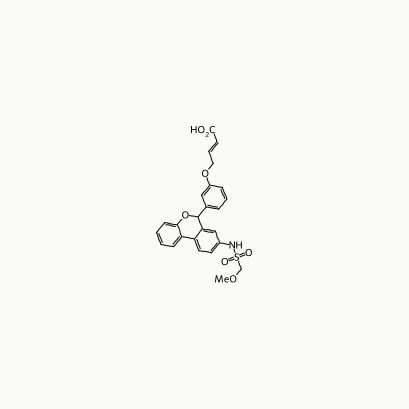 COCS(=O)(=O)Nc1ccc2c(c1)C(c1cccc(OC/C=C/C(=O)O)c1)Oc1ccccc1-2